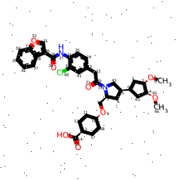 CO[C@H]1CC([C@H]2C[C@@H](CO[C@H]3CC[C@H](C(=O)O)CC3)N(C(=O)Cc3ccc(NC(=O)c4coc5ccccc45)c(Cl)c3)C2)C[C@H]1OC